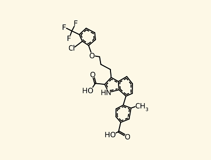 Cc1cc(C(=O)O)ccc1-c1cccc2c(CCCOc3cccc(C(F)(F)F)c3Cl)c(C(=O)O)[nH]c12